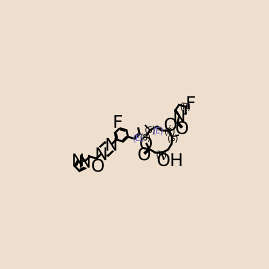 C/C(=C\c1cc(F)cc(N2CCN(C(=O)Cn3cccn3)CC2)c1)[C@H]1OC(=O)C[C@H](O)CC[C@H](C)[C@@H](OC(=O)N2CC[C@@H](F)C2)/C=C/[C@@H]1C